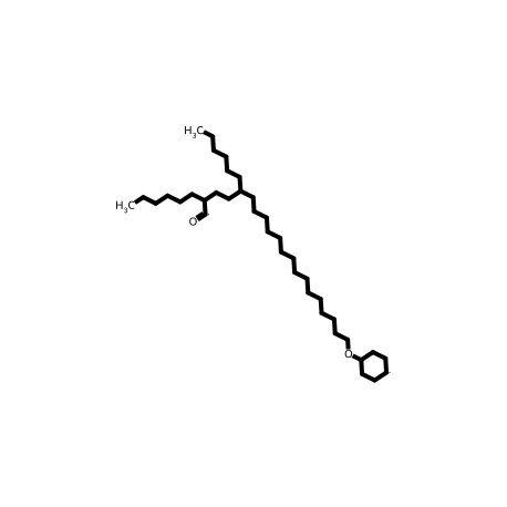 CCCCCCC([C]=O)CCC(CCCCCC)CCCCCCCCCCCCCCCOC1CC[CH]CC1